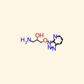 NCC(O)COn1nnc2cccnc21